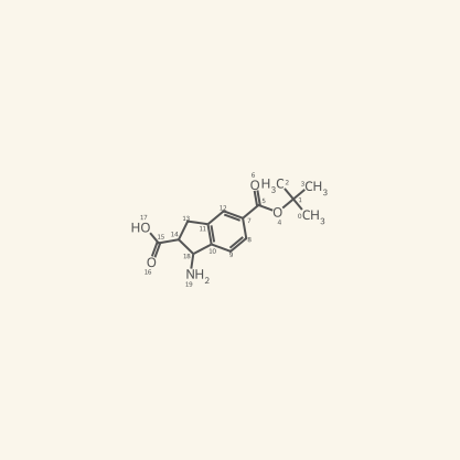 CC(C)(C)OC(=O)c1ccc2c(c1)CC(C(=O)O)C2N